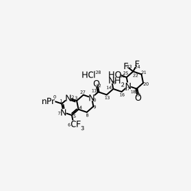 CCCc1nc2c(c(C(F)(F)F)n1)CCN(C(=O)CC(N)CN1C(=O)CCC(F)(F)C1O)C2.Cl